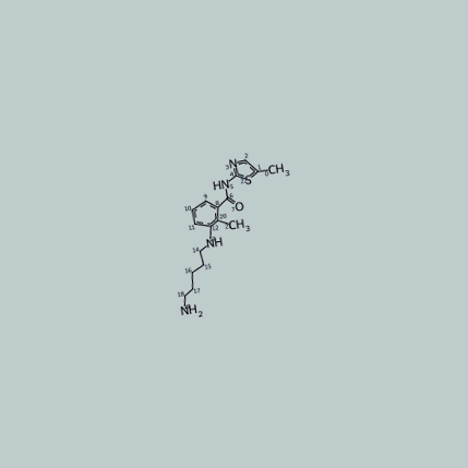 Cc1cnc(NC(=O)c2cccc(NCCCCCN)c2C)s1